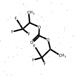 CC(OC(=O)OC(C)C(F)(F)F)C(F)(F)F